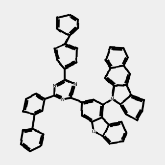 c1ccc(-c2ccc(-c3nc(-c4cccc(-c5ccccc5)c4)nc(-c4cc(-n5c6ccccc6c6cc7ccccc7cc65)c5c(c4)oc4ccccc45)n3)cc2)cc1